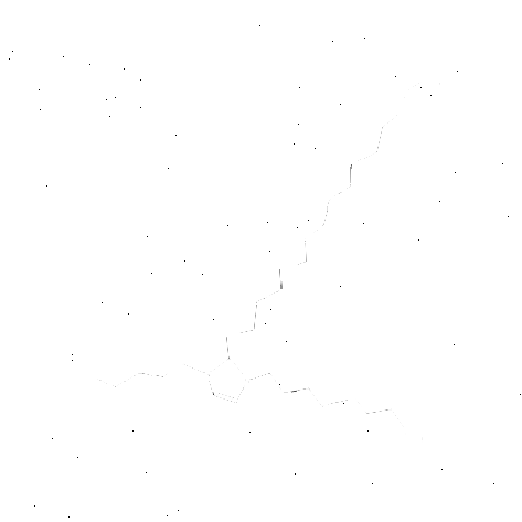 CCCCCCCCCCCCCCCCC1N(CCCCC)C=CN1CCCCCCCC